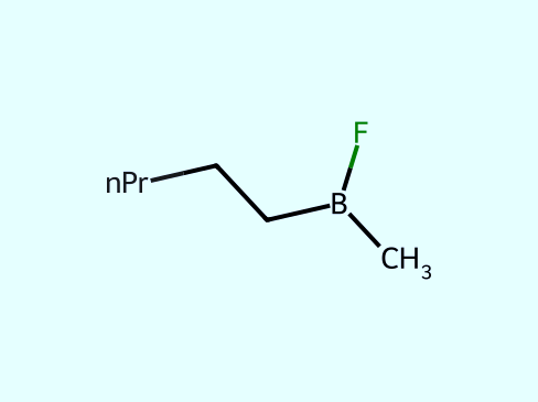 CCCCCB(C)F